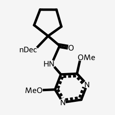 CCCCCCCCCCC1(C(=O)Nc2c(OC)ncnc2OC)CCCC1